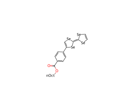 CCCCCCCCOC(=O)c1ccc(C2=C[Se]C(=C3[Se]C=C[Se]3)[Se]2)cc1